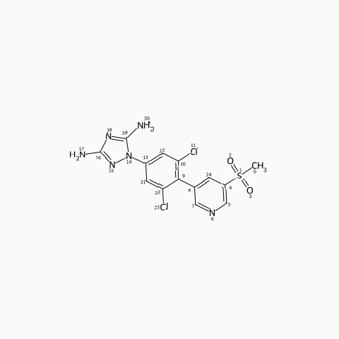 CS(=O)(=O)c1cncc(-c2c(Cl)cc(-n3nc(N)nc3N)cc2Cl)c1